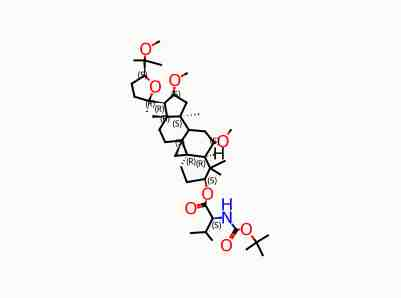 CO[C@H]1C[C@@]2(C)C3C[C@H](OC)[C@H]4C(C)(C)[C@@H](OC(=O)[C@@H](NC(=O)OC(C)(C)C)C(C)C)CC[C@@]45C[C@@]35CC[C@]2(C)[C@H]1[C@@]1(C)CC[C@@H](C(C)(C)OC)O1